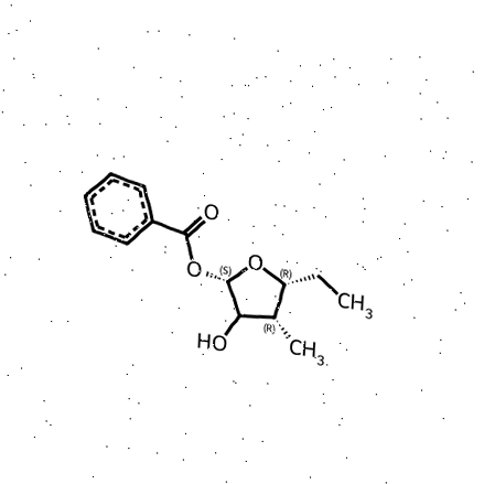 CC[C@H]1O[C@@H](OC(=O)c2ccccc2)C(O)[C@H]1C